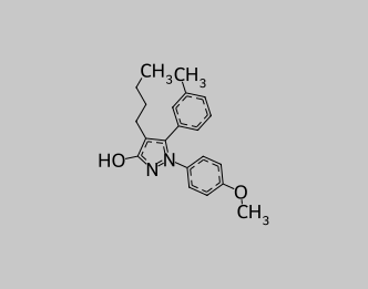 CCCCc1c(O)nn(-c2ccc(OC)cc2)c1-c1cccc(C)c1